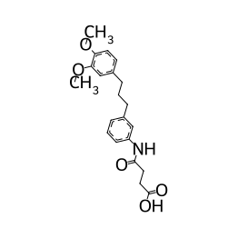 COc1ccc(CCCc2cccc(NC(=O)CCC(=O)O)c2)cc1OC